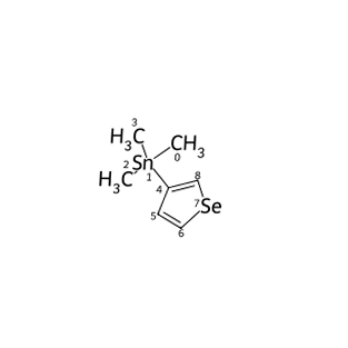 [CH3][Sn]([CH3])([CH3])[c]1cc[se]c1